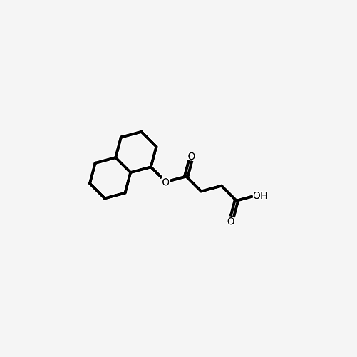 O=C(O)CCC(=O)OC1CCCC2CCCCC21